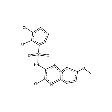 COc1ccc2nc(Cl)c(NS(=O)(=O)c3cccc(Cl)c3Cl)nc2c1